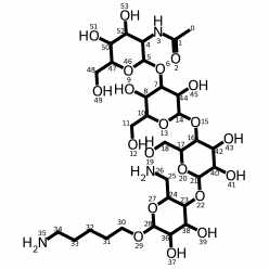 CC(=O)NC1C(OC2C(O)C(CO)OC(OC3C(CO)OC(OC4C(CN)OC(OCCCCCN)C(O)C4O)C(O)C3O)C2O)OC(CO)C(O)C1O